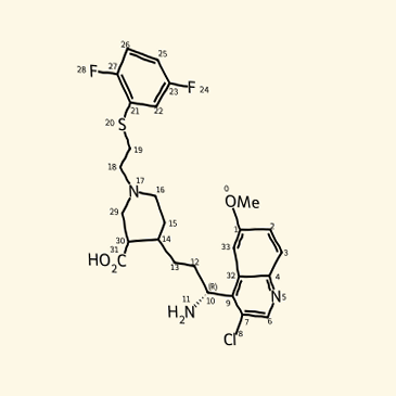 COc1ccc2ncc(Cl)c([C@H](N)CCC3CCN(CCSc4cc(F)ccc4F)CC3C(=O)O)c2c1